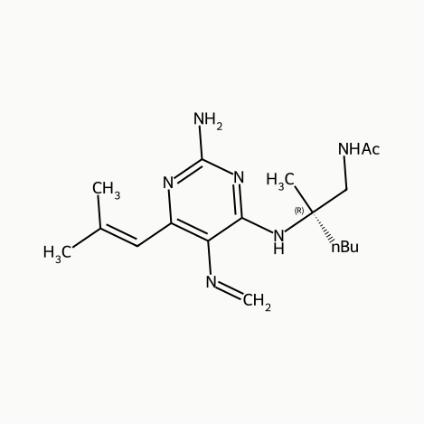 C=Nc1c(C=C(C)C)nc(N)nc1N[C@](C)(CCCC)CNC(C)=O